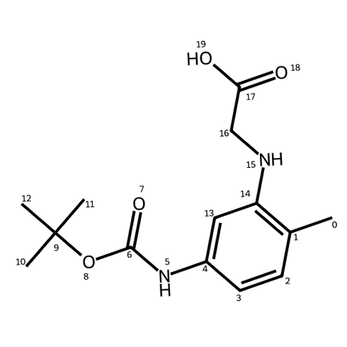 Cc1ccc(NC(=O)OC(C)(C)C)cc1NCC(=O)O